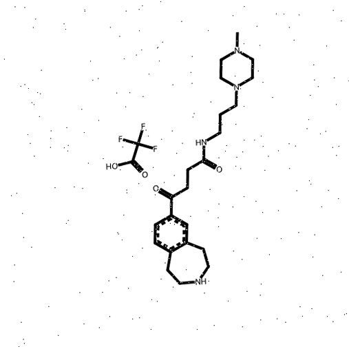 CN1CCN(CCCNC(=O)CCC(=O)c2ccc3c(c2)CCNCC3)CC1.O=C(O)C(F)(F)F